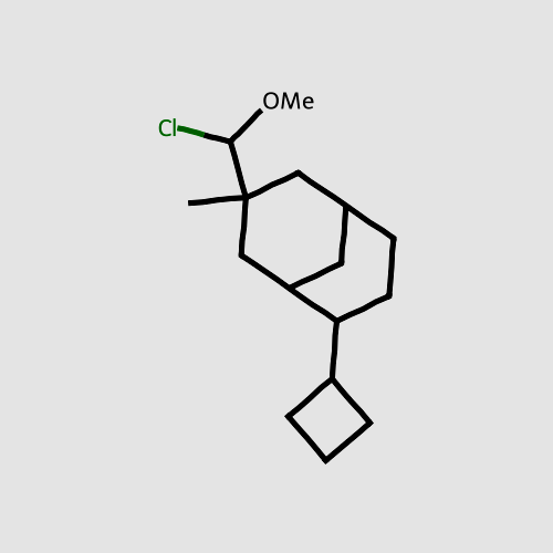 COC(Cl)C1(C)CC2CCC(C3CCC3)C(C2)C1